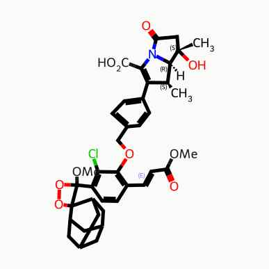 COC(=O)/C=C/c1ccc(C2(OC)OOC23C2CC4CC(C2)CC3C4)c(Cl)c1OCc1ccc(C2=C(C(=O)O)N3C(=O)C[C@](C)(O)[C@H]3[C@H]2C)cc1